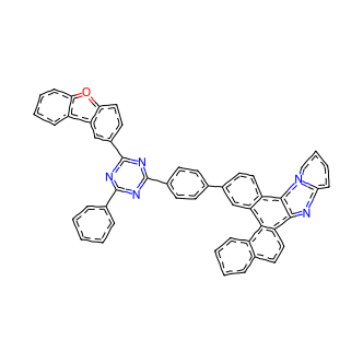 c1ccc(-c2nc(-c3ccc(-c4ccc5c(c4)c4c6ccccc6ccc4c4nc6ccccn6c54)cc3)nc(-c3ccc4oc5ccccc5c4c3)n2)cc1